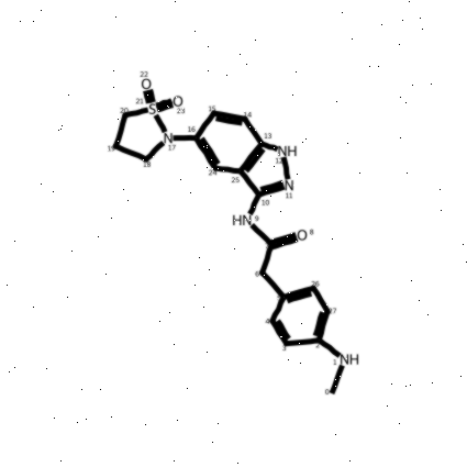 CNc1ccc(CC(=O)Nc2n[nH]c3ccc(N4CCCS4(=O)=O)cc23)cc1